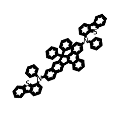 c1ccc(N(c2ccc3cc4c(cc3c2)C(c2ccccc2)(c2ccccc2)c2c-4c3ccccc3c3cc(N(c4ccccc4)c4cccc5c4sc4ccccc45)ccc23)c2cccc3c2sc2ccccc23)cc1